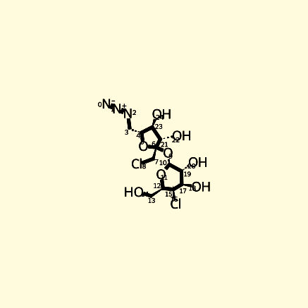 [N-]=[N+]=NC[C@H]1O[C@@](CCl)(O[C@H]2O[C@H](CO)[C@H](Cl)[C@H](O)[C@H]2O)[C@@H](O)[C@@H]1O